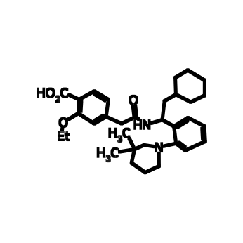 CCOc1cc(CC(=O)NC(CC2CCCCC2)c2ccccc2N2CCCC(C)(C)C2)ccc1C(=O)O